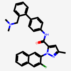 Cc1cc(C(=O)Nc2ccc(-c3ccccc3CN(C)C)cc2)n(-c2cc3ccccc3cc2F)n1